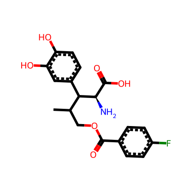 CC(COC(=O)c1ccc(F)cc1)C(c1ccc(O)c(O)c1)[C@H](N)C(=O)O